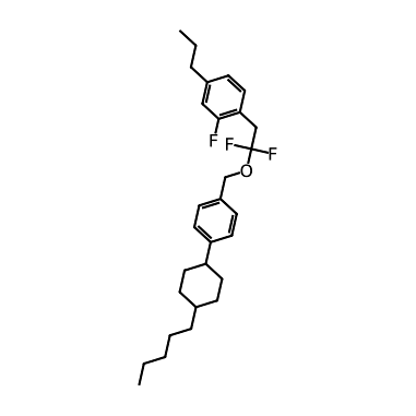 CCCCCC1CCC(c2ccc(COC(F)(F)Cc3ccc(CCC)cc3F)cc2)CC1